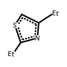 [CH2]Cc1nc(CC)cs1